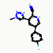 Cn1cc(-c2cc(-c3ccc(F)cc3)cnc2C#N)nn1